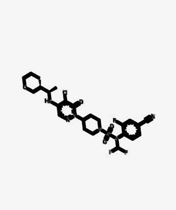 C[C@@H](Nc1cnn(C2CCN(S(=O)(=O)N(c3ccc(C#N)cc3F)C(F)F)CC2)c(=O)c1Cl)[C@H]1CCCOC1